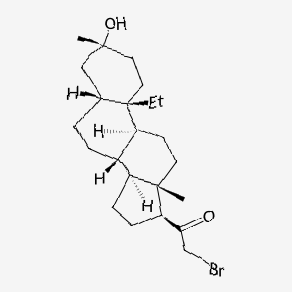 CC[C@]12CC[C@@](C)(O)C[C@H]1CC[C@H]1[C@@H]3CC[C@H](C(=O)CBr)[C@@]3(C)CC[C@@H]12